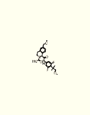 COCc1ccc2c(c1)CCN(C(=O)O)C2C(=O)Nc1cc(F)c(C(C)(C)COC)c(F)c1